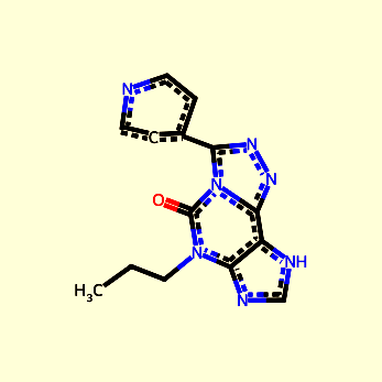 CCCn1c(=O)n2c(-c3ccncc3)nnc2c2[nH]cnc21